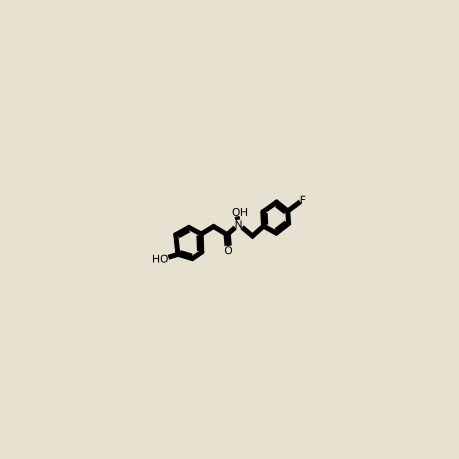 O=C(Cc1ccc(O)cc1)N(O)Cc1ccc(F)cc1